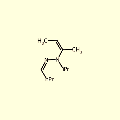 C/C=C(/C)N(/N=C\CCC)C(C)C